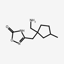 CC1CCC(CN)(Cc2noc(=O)[nH]2)C1